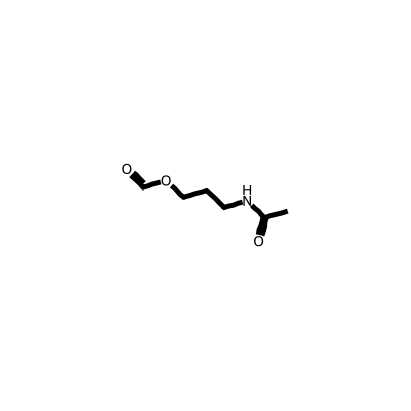 CC(=O)NCCCO[C]=O